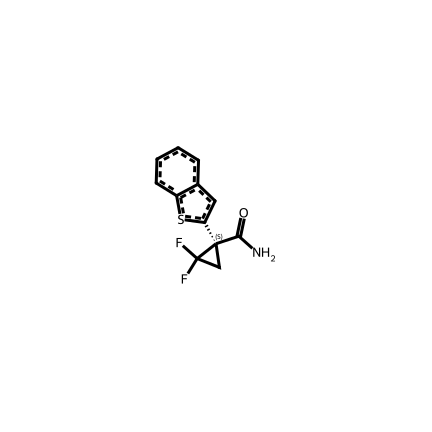 NC(=O)[C@@]1(c2cc3ccccc3s2)CC1(F)F